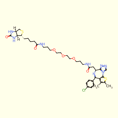 Cc1sc2c(c1C)C(c1ccc(Cl)cc1)=NC(CC(=O)NCCCOCCOCCOCCCNC(=O)CCCC[C@H]1SC[C@H]3NC(=O)N[C@H]31)c1nncn1-2